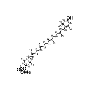 COP(C)(=O)OC1C=C(C)C(/C=C/C(C)=C/C=C/C(C)=C/C=C/C=C(C)/C=C/C=C(C)/C=C/C2=C(C)CC(O)CC2(C)C)C(C)(C)C1